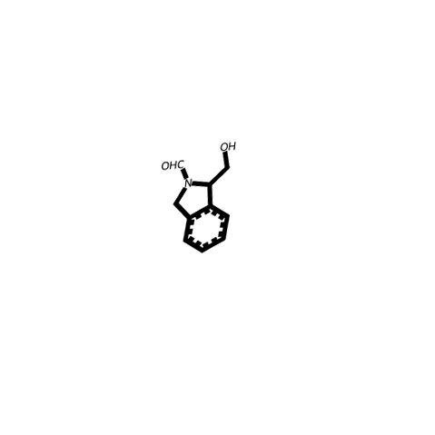 O=CN1Cc2ccccc2C1CO